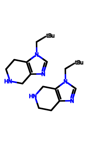 CC(C)(C)Cn1cnc2c1CCNC2.CC(C)(C)Cn1cnc2c1CNCC2